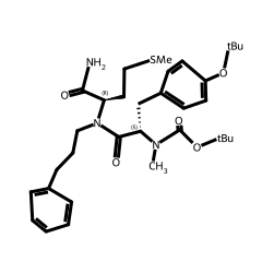 CSCC[C@H](C(N)=O)N(CCCc1ccccc1)C(=O)[C@H](Cc1ccc(OC(C)(C)C)cc1)N(C)C(=O)OC(C)(C)C